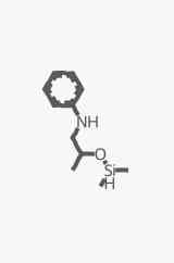 CC(CNc1ccccc1)O[SiH](C)C